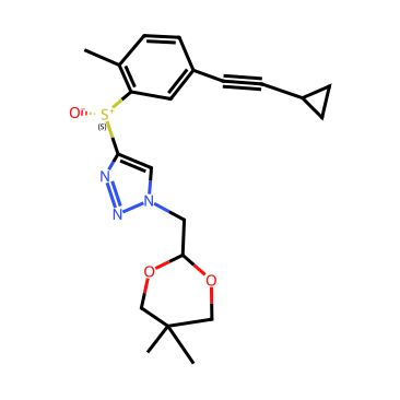 Cc1ccc(C#CC2CC2)cc1[S@@+]([O-])c1cn(CC2OCC(C)(C)CO2)nn1